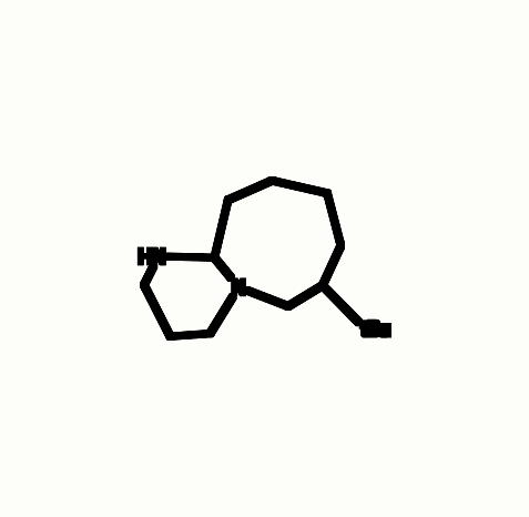 CC(C)(C)C1CCCCC2NCCCN2C1